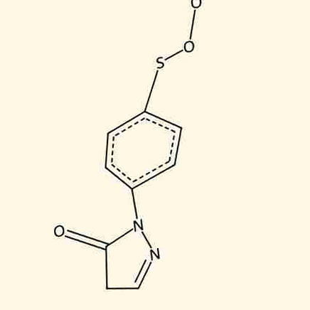 O=C1CC=NN1c1ccc(SOOO)cc1